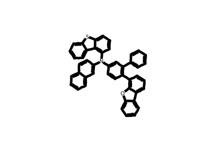 c1ccc(-c2cc(N(c3ccc4ccccc4c3)c3cccc4sc5ccccc5c34)ccc2-c2cccc3c2oc2ccccc23)cc1